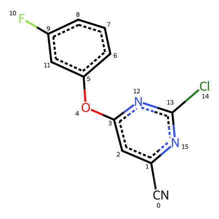 N#Cc1cc(Oc2cccc(F)c2)nc(Cl)n1